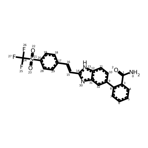 NC(=O)c1ccccc1-c1ccc2[nH]c(/C=C/c3ccc(S(=O)(=O)C(F)(F)F)cc3)nc2c1